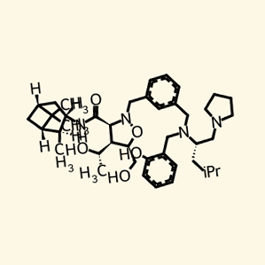 CC(C)C[C@@H](CN1CCCC1)N(Cc1cccc(CN2O[C@@H](CO)[C@@H]([C@H](C)O)[C@H]2C(=O)N[C@H]2C[C@H]3C[C@@H]([C@@H]2C)C3(C)C)c1)Cc1ccccc1O